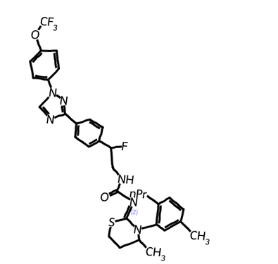 CCCc1ccc(C)cc1N1/C(=N/C(=O)NCC(F)c2ccc(-c3ncn(-c4ccc(OC(F)(F)F)cc4)n3)cc2)SCCC1C